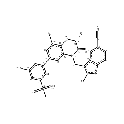 Cc1nc2ccc(C#N)cn2c1CN1C(=O)[C@@H](C)Oc2c(F)cc(-c3cc(F)cc(S(C)(=N)=O)c3)cc21